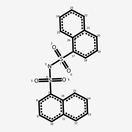 O=S(=O)([N]S(=O)(=O)c1cccc2ccccc12)c1cccc2ccccc12